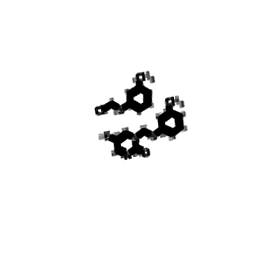 Cc1cccc(SCCl)c1.Cc1cccc(SCn2cc(F)cnc2=O)c1